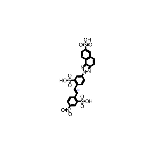 O=[N+]([O-])c1ccc(/C=C/c2ccc(-n3nc4ccc5cc(S(=O)(=O)O)ccc5c4n3)cc2S(=O)(=O)O)c(S(=O)(=O)O)c1